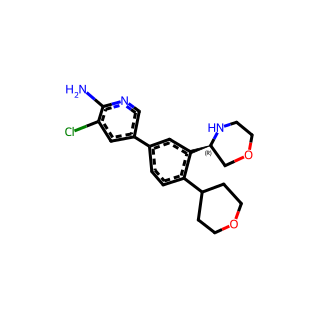 Nc1ncc(-c2ccc(C3CCOCC3)c([C@@H]3COCCN3)c2)cc1Cl